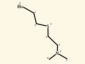 CCC(C)CCSCCN(C)C